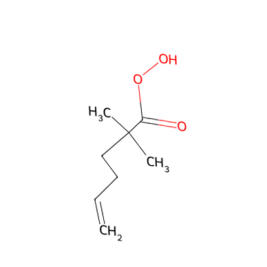 C=CCCC(C)(C)C(=O)OO